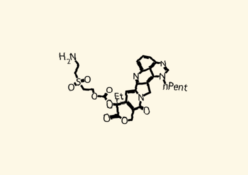 CCCCCN1C=Nc2cccc3nc4c(c1c23)Cn1c-4cc2c(c1=O)COC(=O)[C@@]2(CC)OC(=O)OCCS(=O)(=O)CCN